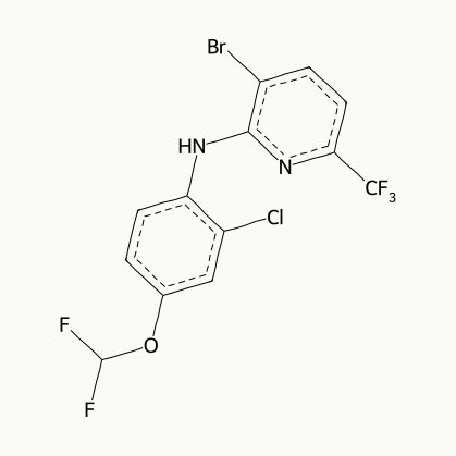 FC(F)Oc1ccc(Nc2nc(C(F)(F)F)ccc2Br)c(Cl)c1